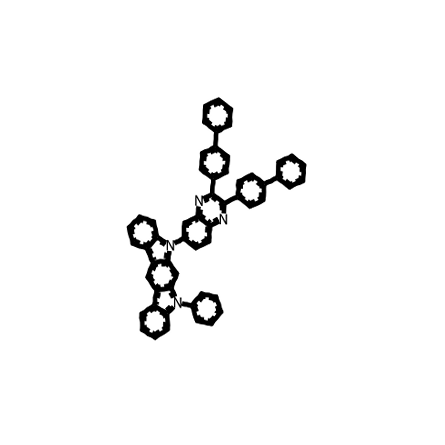 c1ccc(-c2ccc(-c3nc4ccc(-n5c6ccccc6c6cc7c8ccccc8n(-c8ccccc8)c7cc65)cc4nc3-c3ccc(-c4ccccc4)cc3)cc2)cc1